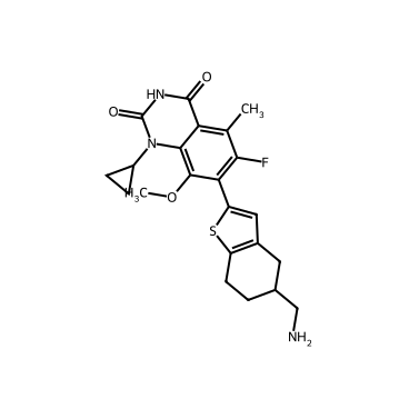 COc1c(-c2cc3c(s2)CCC(CN)C3)c(F)c(C)c2c(=O)[nH]c(=O)n(C3CC3)c12